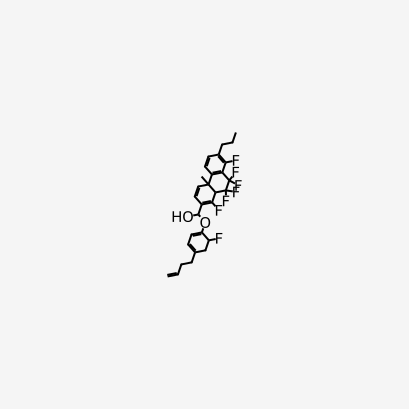 C=CCCC1=CC=C(OC(O)C2=C(F)C3C(C)(C=C2)c2ccc(CCC)c(F)c2C(F)(F)C3(F)F)C(F)C1